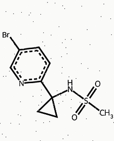 CS(=O)(=O)NC1(c2ccc(Br)cn2)CC1